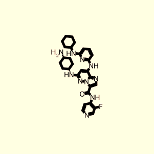 N[C@H]1CC[C@H](Nc2cc(Nc3cccc(NC4CCCCC4)n3)c3ncc(C(=O)Nc4ccncc4F)n3n2)CC1